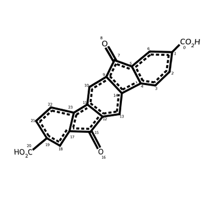 O=C(O)c1ccc2c(c1)c(=O)c1cc3c(cc12)c(=O)c1cc(C(=O)O)ccc13